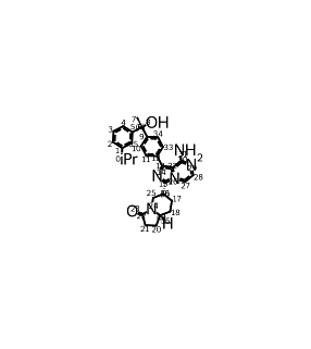 CC(C)c1cccc([C@](C)(O)c2ccc(-c3nc([C@@H]4CC[C@H]5CCC(=O)N5C4)n4ccnc(N)c34)cc2)c1